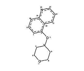 c1cc(OC2CCOCC2)c2cccnc2c1